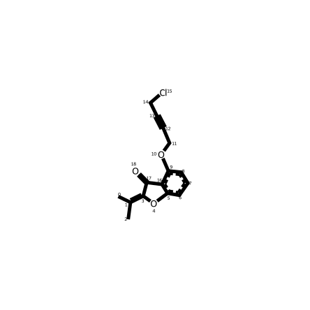 CC(C)=C1Oc2cccc(OCC#CCCl)c2C1=O